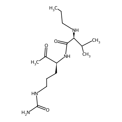 CCCN[C@H](C(=O)N[C@@H](CCCNC(N)=O)C(C)=O)C(C)C